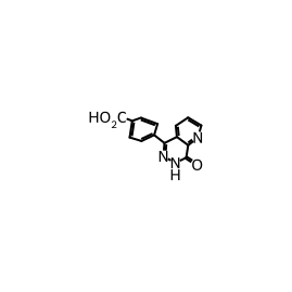 O=C(O)c1ccc(-c2n[nH]c(=O)c3ncccc23)cc1